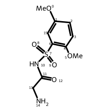 COc1ccc(OC)c(S(=O)(=O)NC(=O)CN)c1